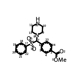 COC(=O)c1ccc(C(N2CCNCC2)S(=O)(=O)c2ccccc2)cc1